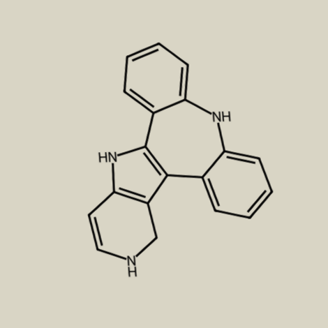 C1=Cc2[nH]c3c(c2CN1)-c1ccccc1Nc1ccccc1-3